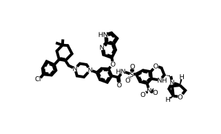 CC1(C)CCC(CN2CCN(c3ccc(C(=O)NS(=O)(=O)c4cc5c(c([N+](=O)[O-])c4)N[C@@H](CN4C[C@@H]6C[C@H]4CO6)CO5)c(Oc4cnc5[nH]ccc5c4)c3)CC2)=C(c2ccc(Cl)cc2)C1